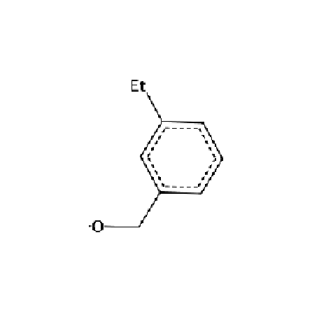 CCc1cccc(C[O])c1